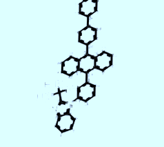 BC(B)(B)c1nc2ccccc2n1-c1cccc(-c2c3ccccc3c(-c3ccc(-c4ccccc4)cc3)c3ccccc23)c1